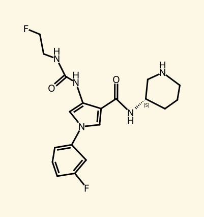 O=C(NCCF)Nc1cn(-c2cccc(F)c2)cc1C(=O)N[C@H]1CCCNC1